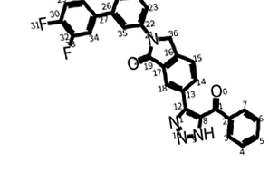 O=C(c1ccccc1)c1[nH]nnc1-c1ccc2c(c1)C(=O)N(c1cccc(-c3ccc(F)c(F)c3)c1)C2